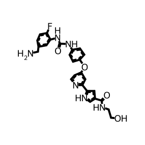 NCc1ccc(F)c(NC(=O)Nc2ccc(Oc3ccnc(-c4cc(C(=O)NCCO)c[nH]4)c3)cc2)c1